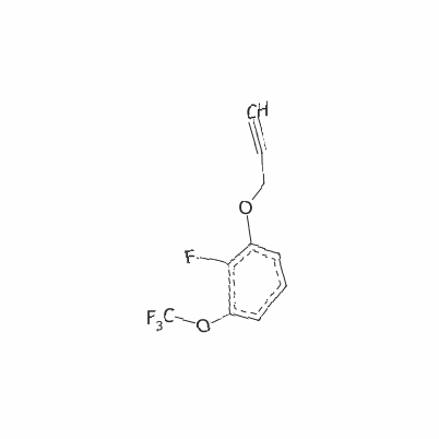 C#CCOc1cccc(OC(F)(F)F)c1F